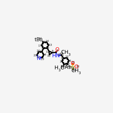 Cc1cc([C@@H](C)NC(=O)C2CC2c2ccc(C(C)(C)C)cc2-c2ccncc2)ccc1[AsH]S(C)(=O)=O